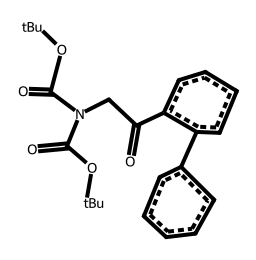 CC(C)(C)OC(=O)N(CC(=O)c1ccccc1-c1ccccc1)C(=O)OC(C)(C)C